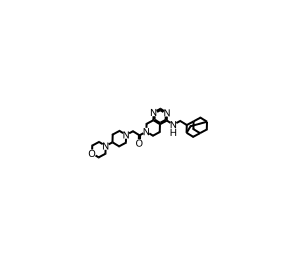 O=C(CN1CCC(N2CCOCC2)CC1)N1CCc2c(ncnc2NCC2C3CC4CC(C3)CC2C4)C1